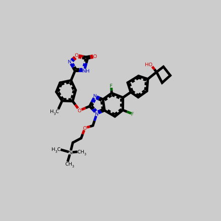 Cc1ccc(-c2noc(=O)[nH]2)cc1Oc1nc2c(F)c(-c3ccc(C4(O)CCC4)cc3)c(F)cc2n1COCC[Si](C)(C)C